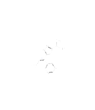 C/C=C(\c1cncnc1)c1nnc(C(C)O)s1